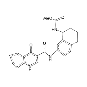 COC(=O)NC1CCCc2ccc(NC(=O)c3c[nH]c4ccccc4c3=O)cc21